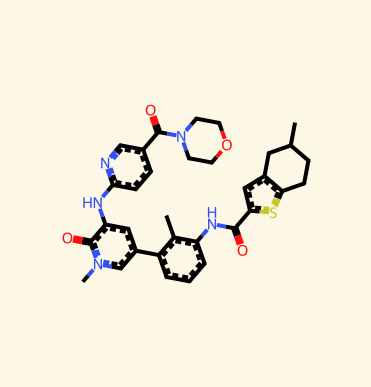 Cc1c(NC(=O)c2cc3c(s2)CCC(C)C3)cccc1-c1cc(Nc2ccc(C(=O)N3CCOCC3)cn2)c(=O)n(C)c1